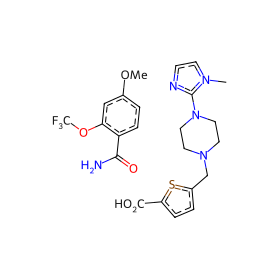 COc1ccc(C(N)=O)c(OC(F)(F)F)c1.Cn1ccnc1N1CCN(Cc2ccc(C(=O)O)s2)CC1